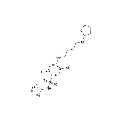 O=S(=O)(Nc1nccs1)c1cc(Cl)c(NCCCCNC2CCCC2)cc1F